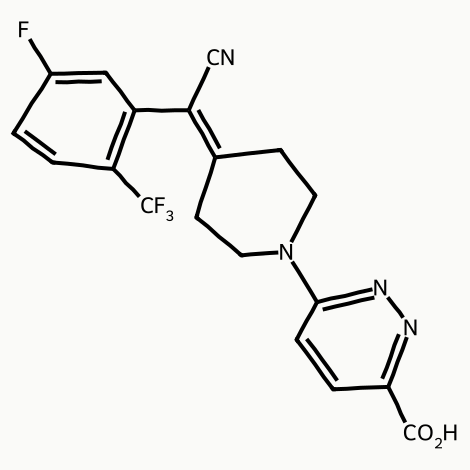 N#CC(=C1CCN(c2ccc(C(=O)O)nn2)CC1)c1cc(F)ccc1C(F)(F)F